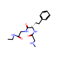 CCNC(=O)CNC(=O)[C@H](CCc1ccccc1)NC(=O)CNC